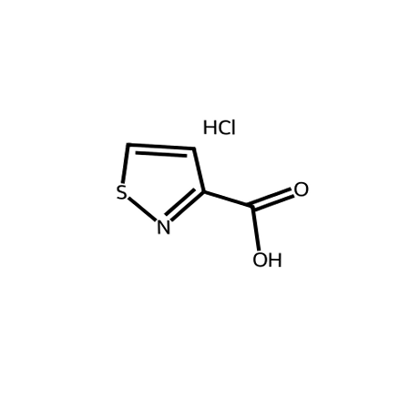 Cl.O=C(O)c1ccsn1